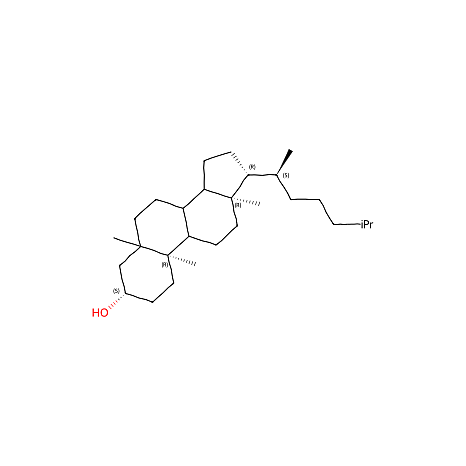 CC(C)CCC[C@H](C)[C@H]1CCC2C3CCC4(C)C[C@@H](O)CC[C@]4(C)C3CC[C@@]21C